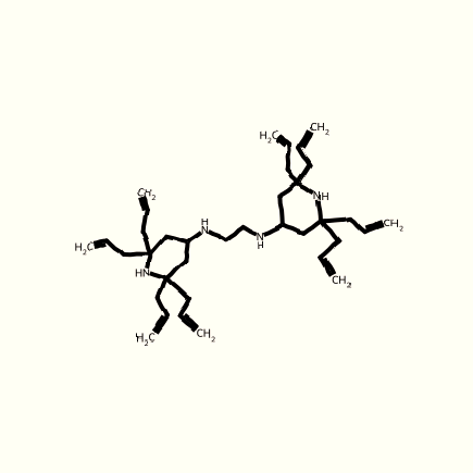 C=CCC1(CC=C)CC(NCCNC2CC(CC=C)(CC=C)NC(CC=C)(CC=C)C2)CC(CC=C)(CC=C)N1